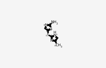 Cc1c[nH]c(Sc2cnc(N)s2)n1